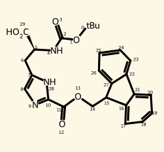 CC(C)(C)OC(=O)N[C@@H](Cc1cnc(C(=O)OCC2c3ccccc3-c3ccccc32)[nH]1)C(=O)O